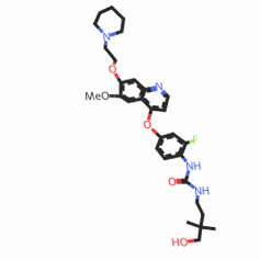 COc1cc2c(Oc3ccc(NC(=O)NCCC(C)(C)CO)c(F)c3)ccnc2cc1OCCN1CCCCC1